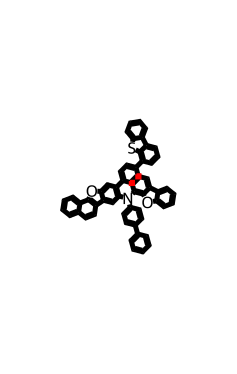 c1ccc(-c2ccc(N(c3cc4c(cc3-c3ccc(-c5cccc6c5sc5ccccc56)cc3)oc3c5ccccc5ccc43)c3cccc4c3oc3ccccc34)cc2)cc1